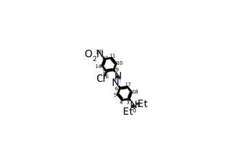 CCN(CC)c1ccc(/N=N/c2ccc([N+](=O)[O-])cc2Cl)cc1